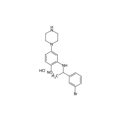 CC(Nc1cc(N2CCNCC2)ccc1[N+](=O)[O-])c1cccc(Br)c1.Cl